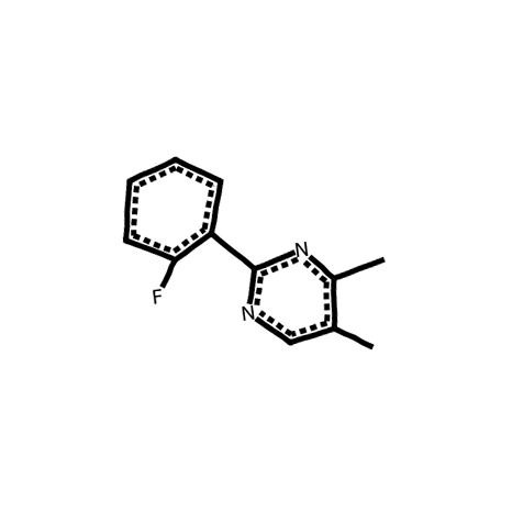 Cc1cnc(-c2ccccc2F)nc1C